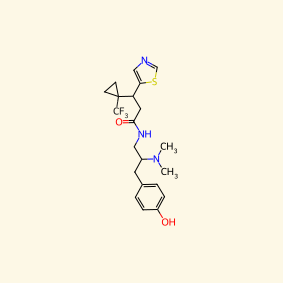 CN(C)C(CNC(=O)CC(c1cncs1)C1(C(F)(F)F)CC1)Cc1ccc(O)cc1